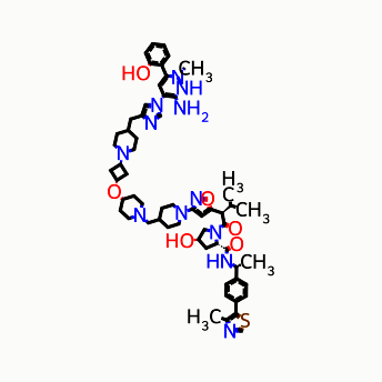 Cc1ncsc1-c1ccc([C@H](C)NC(=O)[C@@H]2C[C@@H](O)CN2C(=O)[C@@H](c2cc(N3CCC(CN4CCC(O[C@H]5C[C@H](N6CCC(Cc7cn(C8=C(N)NN(C)C(c9ccccc9O)=C8)cn7)CC6)C5)CC4)CC3)no2)C(C)C)cc1